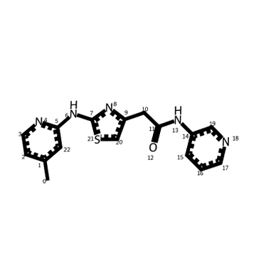 Cc1ccnc(Nc2nc(CC(=O)Nc3cccnc3)cs2)c1